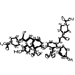 CC(=O)N1CCN(C(=O)/C=C/c2ccc(Sc3ccc(/C=C/C(=O)N4CCN(C(C)=O)CC4)c(-c4ccc(O)cc4)c3[N+](=O)[O-])c([N+](=O)[O-])c2-c2ccc(O)cc2)CC1